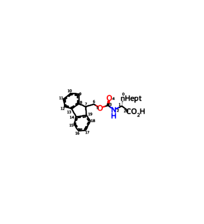 CCCCCCC[C@@H](NC(=O)OCC1c2ccccc2-c2ccccc21)C(=O)O